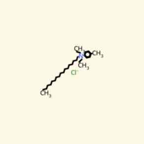 CCCCCCCCCCCCCCCCCC[N+](CCC)(CCC)c1ccc(C)cc1.[Cl-]